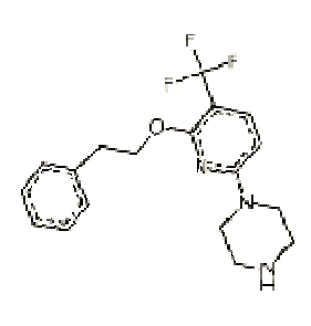 FC(F)(F)c1ccc(N2CCNCC2)nc1OCCc1ccccc1